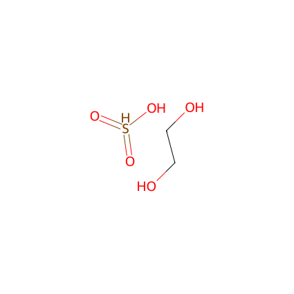 O=[SH](=O)O.OCCO